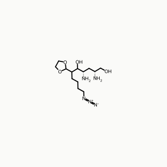 [N-]=[N+]=NCCCCC(C1OCCO1)C(O)[C@@H](N)C[C@@H](N)CO